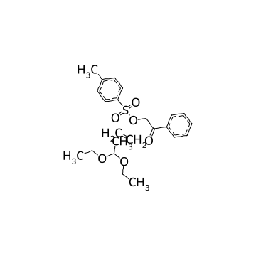 C=C.CCOC(C)OCC.Cc1ccc(S(=O)(=O)OCC(=O)c2ccccc2)cc1